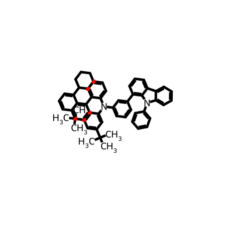 CC(C)(C)c1cc(N(c2cccc(-c3cccc4c5ccccc5n(-c5ccccc5)c34)c2)c2ccccc2-c2cccc3cccc(C4CCCCC4)c23)cc(C(C)(C)C)c1